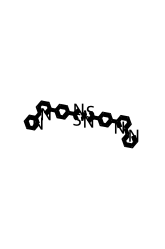 c1ccc(-c2cccc(-c3ccc(-c4nc5sc(-c6ccc(-c7cccc(-c8ccccn8)n7)cc6)nc5s4)cc3)n2)nc1